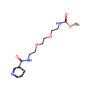 CC(C)(C)OC(=O)NCCOCCOCCNC(=O)c1cccnc1